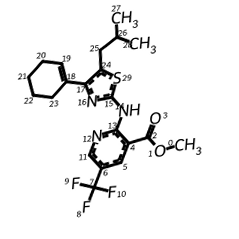 COC(=O)c1cc(C(F)(F)F)cnc1Nc1nc(C2=CCCCC2)c(CC(C)C)s1